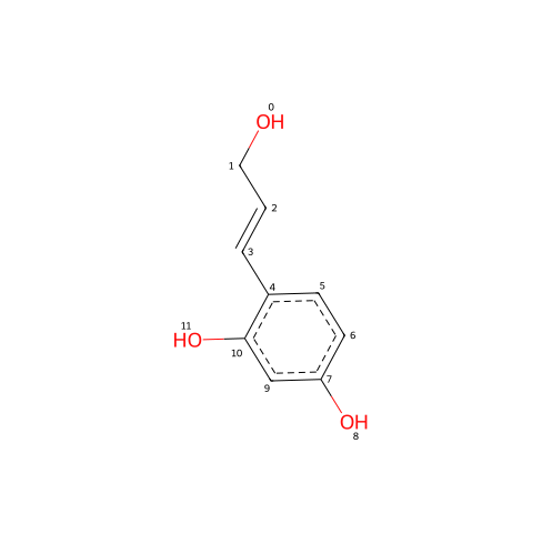 OCC=Cc1ccc(O)cc1O